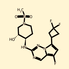 CS(=O)(=O)N1CC[C@@H](Nc2ncc3c(F)cc(C4CC(F)(F)C4)n3n2)[C@H](O)C1